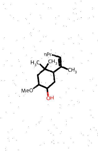 CCC/C=C(/C)C1CC(O)C(OC)CC1(C)C